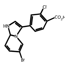 O=C(O)c1ccc(C2=CNC3C=CC(Br)=CN23)cc1Cl